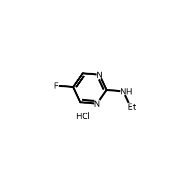 CCNc1ncc(F)cn1.Cl